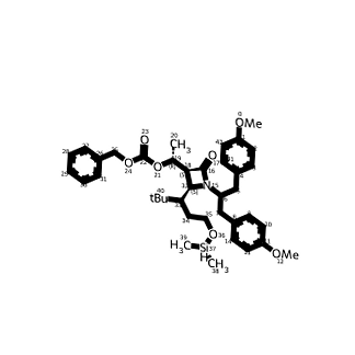 COc1ccc(CC(Cc2ccc(OC)cc2)N2C(=O)[C@H]([C@@H](C)OC(=O)OCc3ccccc3)[C@@H]2C(CCO[SiH](C)C)C(C)(C)C)cc1